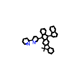 CC1(C)c2ccccc2-c2cc3c(-c4cccc5ccccc45)c4ccccc4c(-c4ccc(-c5ccccn5)nc4)c3cc21